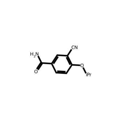 CC(C)Oc1ccc(C(N)=O)cc1C#N